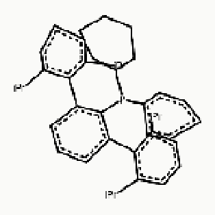 CC(C)c1cccc(C(C)C)c1-c1cccc(-c2c(C(C)C)cccc2C(C)C)c1P(c1ccccc1)C1CCCCC1